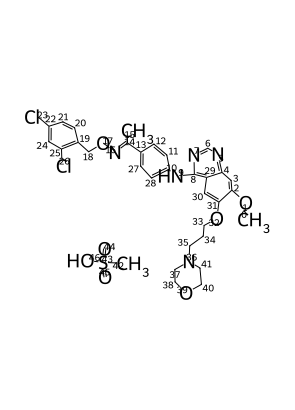 COc1cc2ncnc(Nc3ccc(C(C)=NOCc4ccc(Cl)cc4Cl)cc3)c2cc1OCCCN1CCOCC1.CS(=O)(=O)O